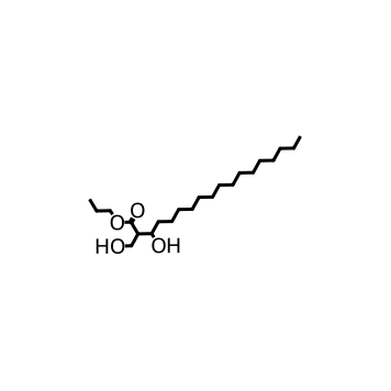 CCCCCCCCCCCCCCCC(O)C(CO)C(=O)OCCC